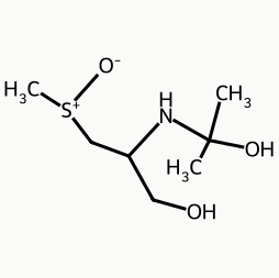 C[S+]([O-])CC(CO)NC(C)(C)O